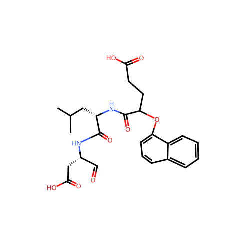 CC(C)C[C@H](NC(=O)C(CCC(=O)O)Oc1cccc2ccccc12)C(=O)N[C@H](C=O)CC(=O)O